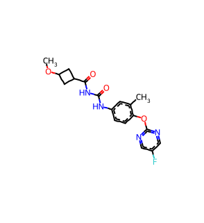 COC1CC(C(=O)NC(=O)Nc2ccc(Oc3ncc(F)cn3)c(C)c2)C1